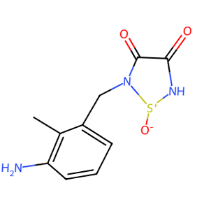 Cc1c(N)cccc1Cn1c(=O)c(=O)[nH][s+]1[O-]